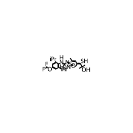 C/C(=C/C(C)=C(\S)C(C)(C)O)S(N)(=O)=NC(=O)Nc1c(C(C)C)cc(OC(F)F)cc1C(C)C